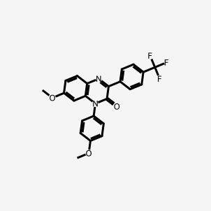 COc1ccc(-n2c(=O)c(-c3ccc(C(F)(F)F)cc3)nc3ccc(OC)cc32)cc1